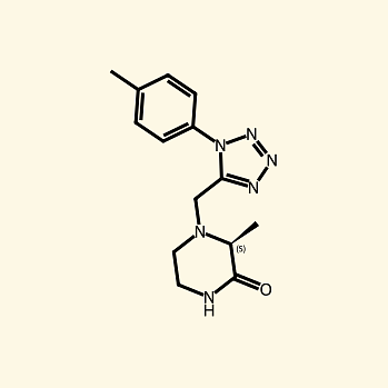 Cc1ccc(-n2nnnc2CN2CCNC(=O)[C@@H]2C)cc1